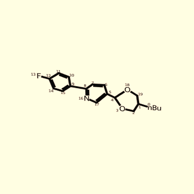 CCCCC1COC(c2ccc(-c3ccc(F)cc3)nc2)OC1